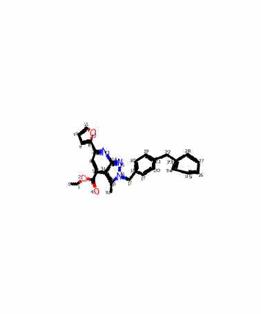 CCOC(=O)c1cc(-c2ccco2)nc2nn(Cc3ccc(Cc4ccccc4)cc3)c(C)c12